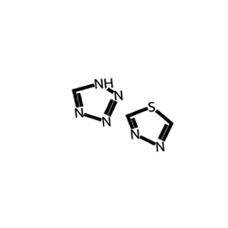 c1nncs1.c1nnn[nH]1